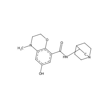 CN1CCOc2c(C(=O)NC3CN4CCC3CC4)cc(O)cc21